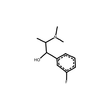 CC(C(O)c1cccc(F)c1)N(C)C